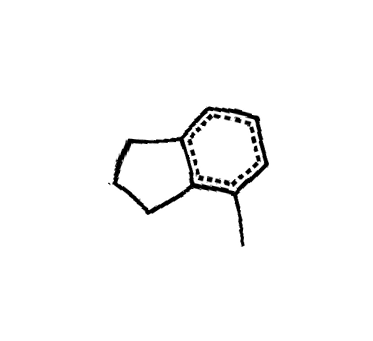 Cc1cccc2c1C[CH]C2